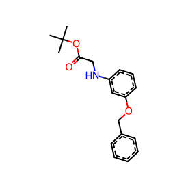 CC(C)(C)OC(=O)CNc1cccc(OCc2ccccc2)c1